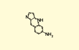 Nc1ccc2cc3nccc-3[nH]c2c1